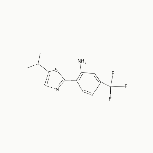 CC(C)c1cnc(-c2ccc(C(F)(F)F)cc2N)s1